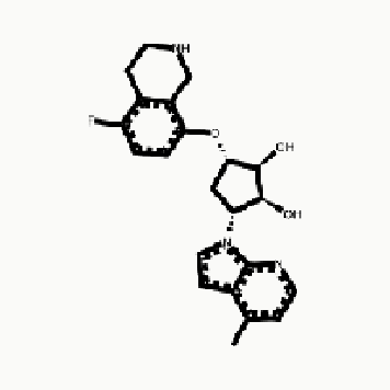 Cc1ccnc2c1ccn2[C@@H]1C[C@H](Oc2ccc(F)c3c2CNCC3)[C@@H](O)[C@H]1O